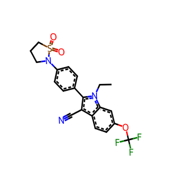 CCn1c(-c2ccc(N3CCCS3(=O)=O)cc2)c(C#N)c2ccc(OC(F)(F)F)cc21